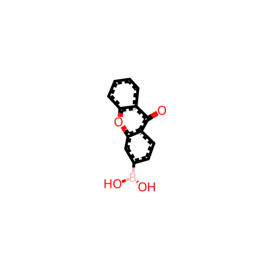 O=c1c2ccccc2oc2cc(B(O)O)ccc12